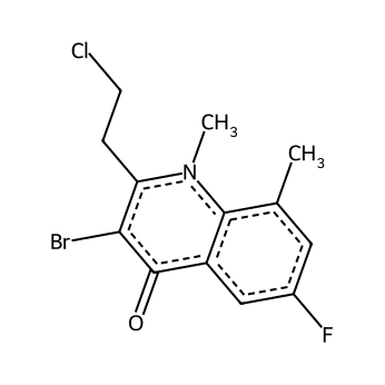 Cc1cc(F)cc2c(=O)c(Br)c(CCCl)n(C)c12